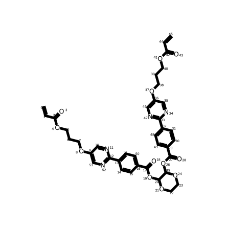 C=CC(=O)OCCCOc1cnc(-c2ccc(C(=O)OC3OCCOC3OC(=O)c3ccc(-c4ncc(OCCCOC(=O)C=C)cn4)cc3)cc2)nc1